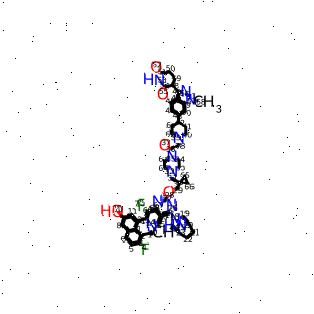 C#Cc1c(F)ccc2cc(O)cc(-c3ncc4c(N5CC6CCC(C5)N6)nc(OCC5(CN6CCN(C(=O)CN7CCC(c8ccc9c(C%10CCC(=O)NC%10=O)nn(C)c9c8)CC7)CC6)CC5)nc4c3F)c12